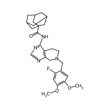 COc1cc(F)c(CN2CCc3c(ncnc3NC(=O)C34CC5CC(CC(C5)C3)C4)C2)cc1OC